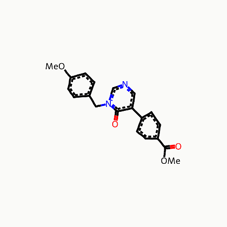 COC(=O)c1ccc(-c2cncn(Cc3ccc(OC)cc3)c2=O)cc1